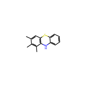 Cc1cc2c(c(C)c1C)Nc1ccccc1S2